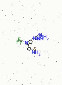 N=C(/C=N\N)CNCc1ccc2c(-c3cccc(C(N)=S)c3)cn(CCCC(F)(F)F)c2c1